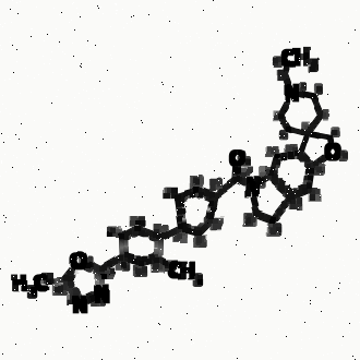 CCN1CCC2(CC1)COc1cc3c(cc12)N(C(=O)c1ccc(-c2ccc(-c4nnc(C)o4)cc2C)cc1)CC3